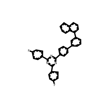 Fc1ccc(-c2nc(-c3ccc(F)cc3)nc(-c3ccc(-c4cccc(-c5cccc6ccccc56)c4)cc3)n2)cc1